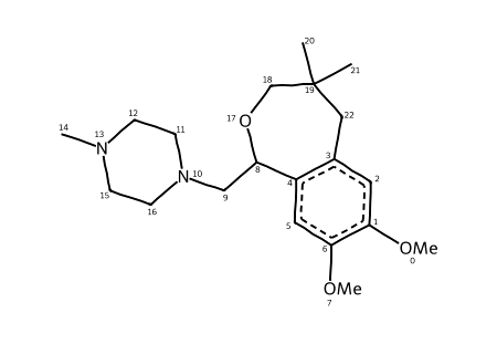 COc1cc2c(cc1OC)C(CN1CCN(C)CC1)OCC(C)(C)C2